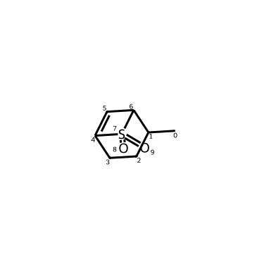 CC1CCC2=CC1S2(=O)=O